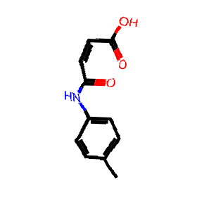 Cc1ccc(NC(=O)/C=C\C(=O)O)cc1